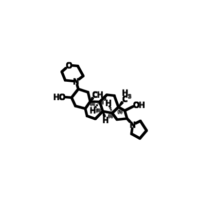 C[C@]12CC(N3CCOCC3)C(O)CC1CC[C@@H]1[C@@H]2CC[C@]2(C)C(O)C(N3CCCC3)C[C@@H]12